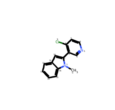 Cn1c(-c2cnccc2Cl)cc2ccccc21